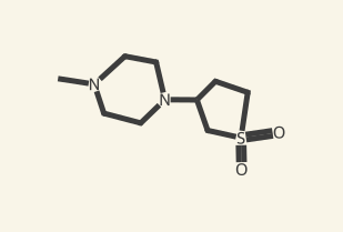 CN1CCN(C2CCS(=O)(=O)C2)CC1